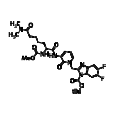 COC(=O)N[C@@H](CC/C=C/C(=O)N(C)C)C(=O)Nc1cccn(Cc2nc3cc(F)c(F)cc3n2C(=O)OC(C)(C)C)c1=O